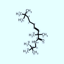 CC(C)(C)CCCC=CC(C)(C)C(=O)NCC(C)(C)C